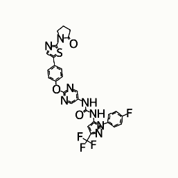 O=C(Nc1cnc(Oc2ccc(-c3cnc(N4CCCC4=O)s3)cc2)nc1)Nc1cc(C(F)(F)F)nn1-c1ccc(F)cc1